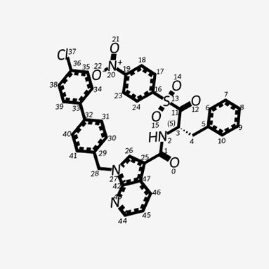 O=C(N[C@@H](Cc1ccccc1)C(=O)S(=O)(=O)c1ccc([N+](=O)[O-])cc1)c1cn(Cc2ccc(-c3ccc(Cl)cc3)cc2)c2ncccc12